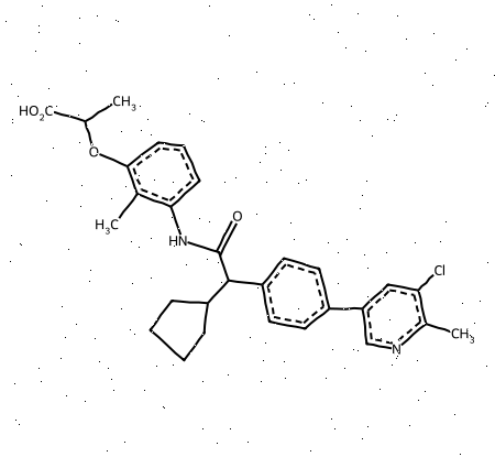 Cc1ncc(-c2ccc(C(C(=O)Nc3cccc(OC(C)C(=O)O)c3C)C3CCCC3)cc2)cc1Cl